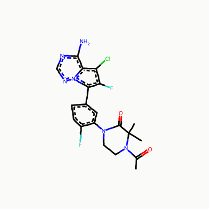 CC(=O)N1CCN(c2cc(-c3c(F)c(Cl)c4c(N)ncnn34)ccc2F)C(=O)C1(C)C